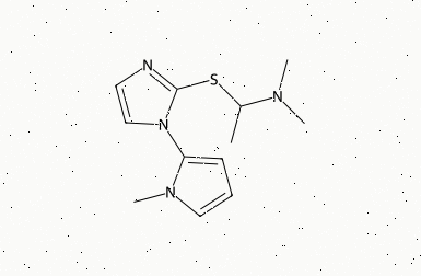 CC(Sc1nccn1-c1cccn1C)N(C)C